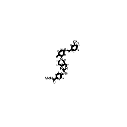 CNC(=O)c1ccc(Nc2ncc3c(n2)CCN(c2cc(NCc4cccc(C(F)(F)F)c4)ccc2C)C3)cn1